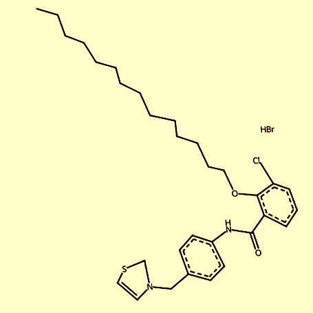 Br.CCCCCCCCCCCCCCOc1c(Cl)cccc1C(=O)Nc1ccc(CN2C=CSC2)cc1